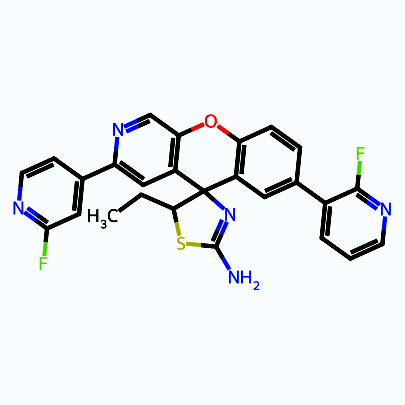 CCC1SC(N)=NC12c1cc(-c3cccnc3F)ccc1Oc1cnc(-c3ccnc(F)c3)cc12